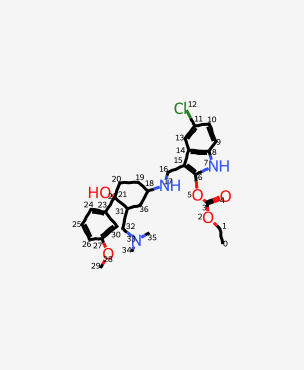 CCOC(=O)Oc1[nH]c2ccc(Cl)cc2c1CNC1CCC(O)(c2cccc(OC)c2)C(CN(C)C)C1